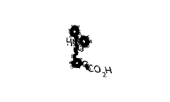 O=C(O)COc1cccc(CCCC(=O)NN(c2ccccc2)c2ccccc2)c1